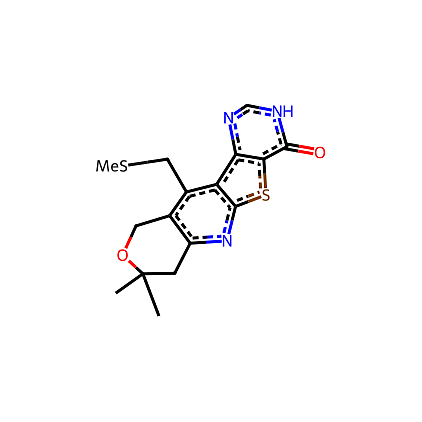 CSCc1c2c(nc3sc4c(=O)[nH]cnc4c13)CC(C)(C)OC2